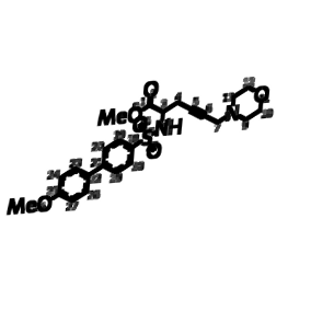 COC(=O)C(CC#CCN1CCOCC1)NS(=O)(=O)c1ccc(-c2ccc(OC)cc2)cc1